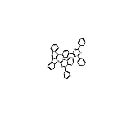 c1ccc(-c2nc(-c3ccccc3)nc(-c3ccc(-c4c5ccccc5cc5c6ccccc6n(-c6nc(-c7ccccc7)c7ccccc7n6)c45)cc3)n2)cc1